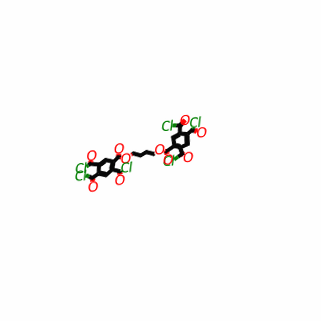 O=C(Cl)c1cc(C(=O)Cl)c(C(=O)OCCCCOC(=O)c2cc(C(=O)Cl)c(C(=O)Cl)cc2C(=O)Cl)cc1C(=O)Cl